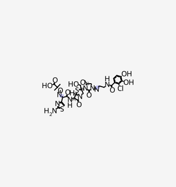 C[C@H]1CN(/N=C/CNC(=O)c2ccc(O)c(O)c2Cl)C(=O)N1[C@]1(C(=O)O)CN2C(=O)[C@@H](NC(=O)/C(=N\OC(C)(C)C(=O)O)c3csc(N)n3)[C@H]2S1